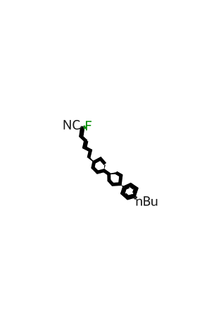 CCCCc1ccc([C@H]2CC[C@H]([C@H]3CC[C@H](CCC=CC=C(F)C#N)CC3)CC2)cc1